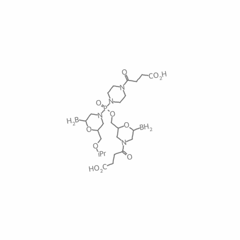 BC1CN(C(=O)CCC(=O)O)CC(COP(=O)(N2CCN(C(=O)CCC(=O)O)CC2)N2CC(B)OC(COC(C)C)C2)O1